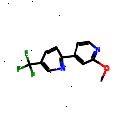 COc1cc(-c2ccc(C(F)(F)F)cn2)ccn1